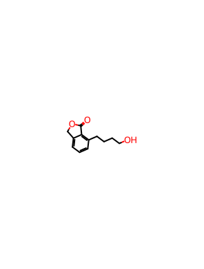 O=C1OCc2cccc(CCCCO)c21